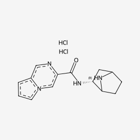 Cl.Cl.O=C(N[C@@H]1CC2CCC1N2)c1cn2cccc2cn1